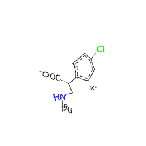 CC(C)(C)NCC(C(=O)[O-])c1ccc(Cl)cc1.[K+]